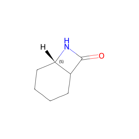 O=C1N[C@H]2CCCCC12